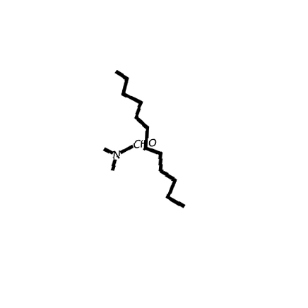 CCCCCCCCCCCC.CN(C)C=O